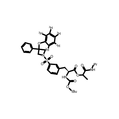 [2H]c1c([2H])c([2H])c(OC2(c3ccccc3)CN(S(=O)(=O)c3cccc(C[C@H](NC(=O)OC(C)(C)C)C(=O)OC(C)C(=O)NC(C)C)c3)C2)c([2H])c1[2H]